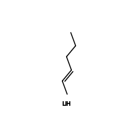 CC=CCCC.[LiH]